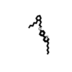 CCCCCCc1ccc(-c2ccc(OCCCC3CCCCC3CCCCC)cc2)nc1